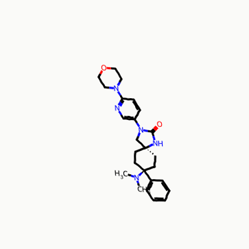 CN(C)[C@]1(c2ccccc2)CC[C@]2(CC1)CN(c1ccc(N3CCOCC3)nc1)C(=O)N2